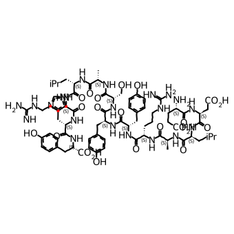 CC(C)C[C@H](NC(=O)[C@H](C)NC(=O)[C@H](CO)NC(=O)[C@H](Cc1ccc(O)cc1)NC(=O)[C@H](Cc1ccc(O)cc1)NC(=O)[C@H](CCCNC(=N)N)NC(=O)[C@H](C)NC(=O)[C@H](CC(C)C)NC(=O)[C@H](CC(=O)O)NC(=O)[C@@H](N)CCC(=O)O)C(=O)N[C@@H](CCCNC(=N)N)C(=O)N[C@@H](Cc1c[nH]cn1)C(=O)N[C@@H](Cc1ccc(O)cc1)C(=O)O